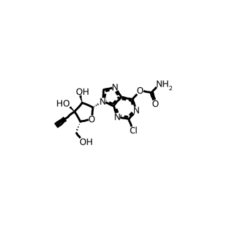 C#C[C@@]1(O)[C@@H](CO)O[C@@H](n2cnc3c(OC(N)=O)nc(Cl)nc32)[C@@H]1O